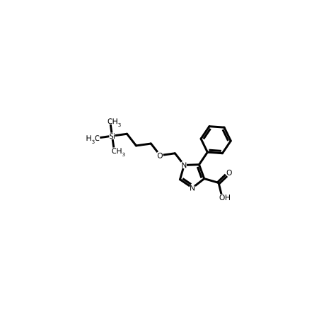 C[Si](C)(C)CCCOCn1cnc(C(=O)O)c1-c1ccccc1